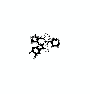 Cc1cc2c(cc1F)c(C#N)c(N([C@@H](C)C(F)(F)F)S(=O)(=O)c1cccnc1)n2-c1c[nH]nc1C